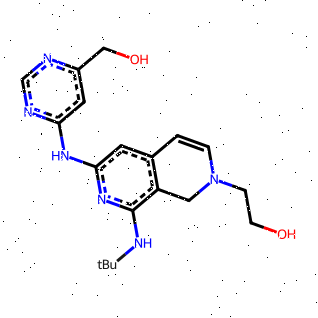 CC(C)(C)Nc1nc(Nc2cc(CO)ncn2)cc2c1CN(CCO)C=C2